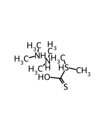 CNC.CNC.C[SH](C)C(O)=S